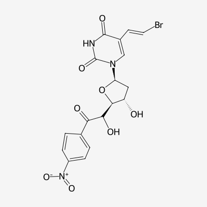 O=C(c1ccc([N+](=O)[O-])cc1)C(O)[C@H]1O[C@@H](n2cc(C=CBr)c(=O)[nH]c2=O)C[C@@H]1O